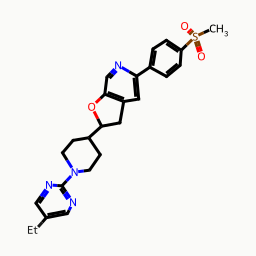 CCc1cnc(N2CCC(C3Cc4cc(-c5ccc(S(C)(=O)=O)cc5)ncc4O3)CC2)nc1